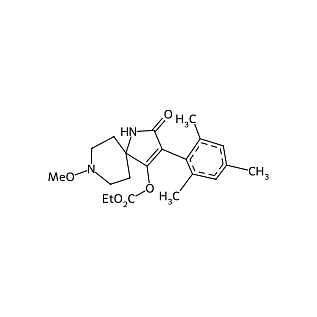 CCOC(=O)OC1=C(c2c(C)cc(C)cc2C)C(=O)NC12CCN(OC)CC2